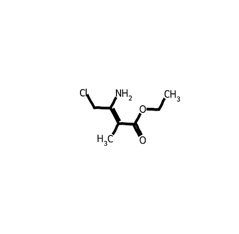 CCOC(=O)C(C)=C(N)CCl